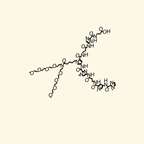 COCCOCCOCCOCCN(CCOCCOCCOCCOC)C(=O)CCCCn1cc(NC(=O)c2nc(NC(=O)CCNC(=O)c3cc(NC(=O)c4nccn4C)cn3C)cn2C)cc1C(=O)NCCC(=O)Nc1cn(C)c(C(=O)NCCC(=O)O)n1